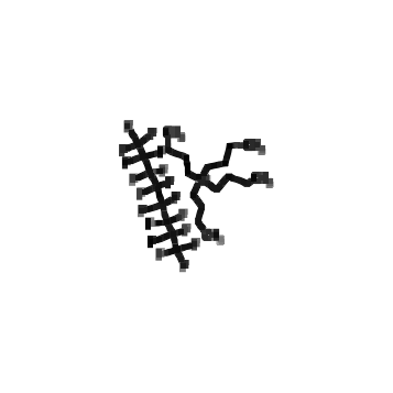 CCCC[N+](CCCC)(CCCC)CCCC.FC(F)(F)C(F)(F)C(F)(F)C(F)(F)C(F)(F)C(F)(F)C(F)(F)C(F)(F)F